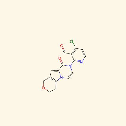 O=Cc1c(Cl)ccnc1-n1ccn2c3c(cc2c1=O)COCC3